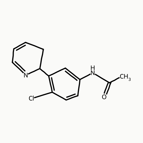 CC(=O)Nc1ccc(Cl)c(C2CC=CC=N2)c1